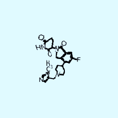 Cn1cncc1CN1CCC(c2cc(F)cc3c2CN(C2CCC(=O)NC2=O)C3=O)CC1